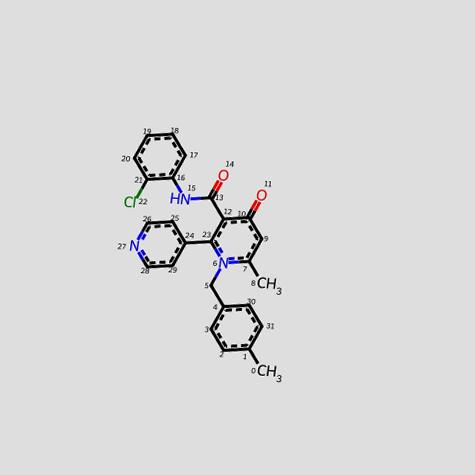 Cc1ccc(Cn2c(C)cc(=O)c(C(=O)Nc3ccccc3Cl)c2-c2ccncc2)cc1